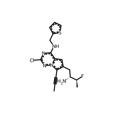 CC#Cc1c(C[C@@H](N)[C@H](C)F)cc2c(NCc3cccs3)nc(Cl)nn12